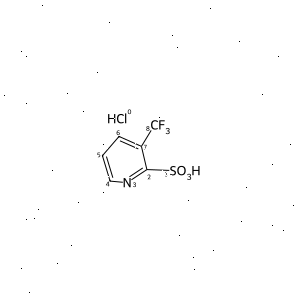 Cl.O=S(=O)(O)c1ncccc1C(F)(F)F